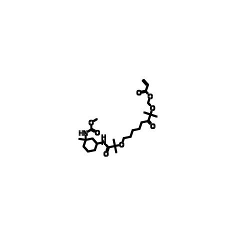 C=CC(=O)OCOC(C)(C)C(=O)CCCCCOC(C)(C)C(=O)NC1CCCC(C)(NC(=O)OC)C1